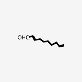 C=CCCCCCC=CC=O